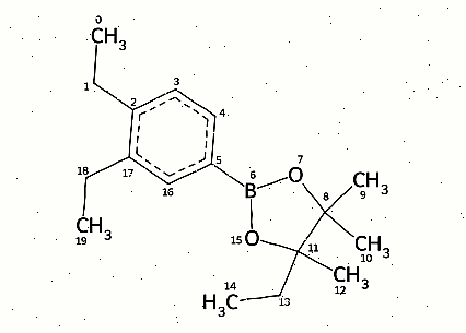 CCc1ccc(B2OC(C)(C)C(C)(CC)O2)cc1CC